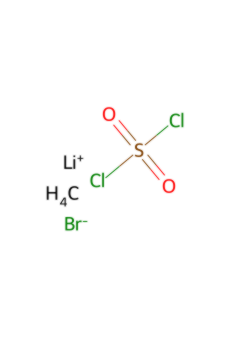 C.O=S(=O)(Cl)Cl.[Br-].[Li+]